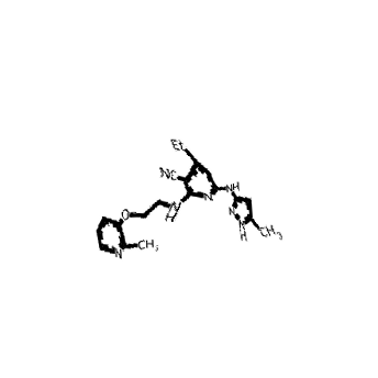 CCc1cc(Nc2cc(C)[nH]n2)nc(NCCOc2cccnc2C)c1C#N